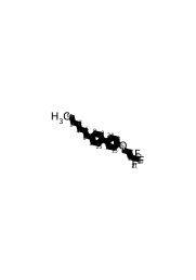 CCCCCCCc1ccc(-c2ccc(OCC=CC(F)(F)F)cc2)cc1